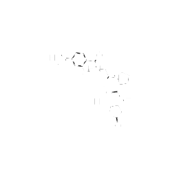 Nc1ccc(C(=O)NCC(=O)N2CCC[C@H]2C(=O)N[C@H]2CC(=O)O[C@H]2O)c(Cl)c1